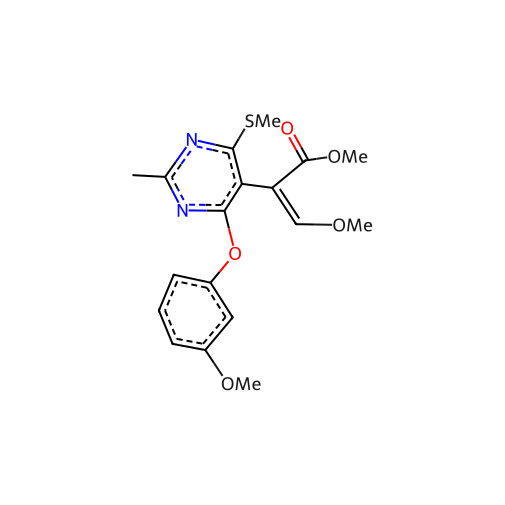 COC=C(C(=O)OC)c1c(Oc2cccc(OC)c2)nc(C)nc1SC